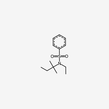 CCN(C(C)(C)CC)S(=O)(=O)c1ccccc1